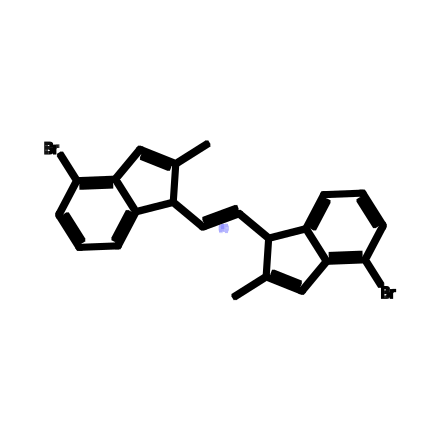 CC1=Cc2c(Br)cccc2C1/C=C/C1C(C)=Cc2c(Br)cccc21